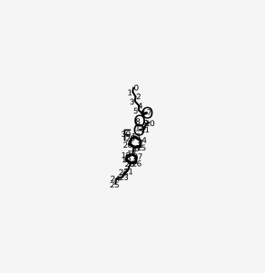 CCCCCCC(=O)OC(C)COc1ccc(-c2ccc(CCCCC)cc2)cc1F